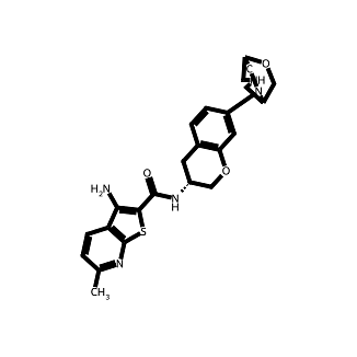 Cc1ccc2c(N)c(C(=O)N[C@H]3COc4cc(N5CC6CNCC5CO6)ccc4C3)sc2n1